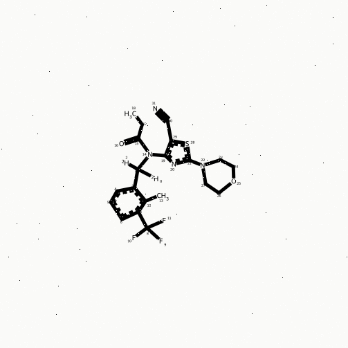 [2H]C([2H])(c1cccc(C(F)(F)F)c1C)N(C(=O)CC)c1nc(N2CCOCC2)sc1C#N